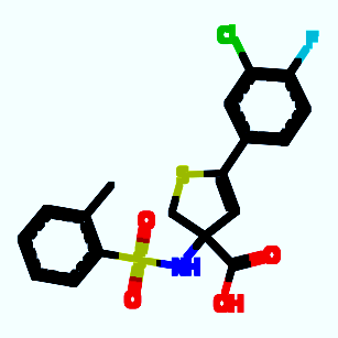 Cc1ccccc1S(=O)(=O)NC1(C(=O)O)C=C(c2ccc(F)c(Cl)c2)SC1